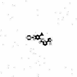 O=C(Nc1cc2oc(N3CCOCC3)nc2cc1C1CC1)c1cccc(-c2ccn[nH]2)n1